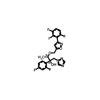 C[C@@H](OCc1cc(-c2c(F)ccc(F)c2F)no1)[C@](O)(Cn1cncn1)c1ccc(F)cc1F